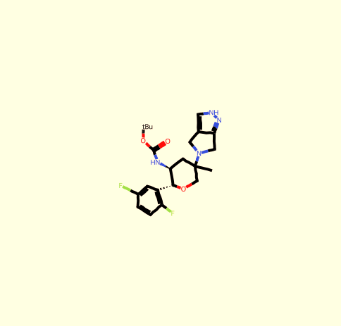 CC(C)(C)OC(=O)N[C@H]1CC(C)(N2Cc3c[nH]nc3C2)CO[C@@H]1c1cc(F)ccc1F